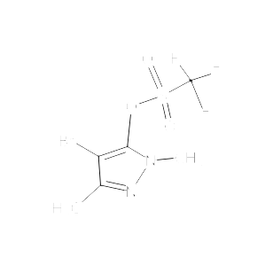 Cc1nn(C)c(OS(=O)(=O)C(F)(F)F)c1Br